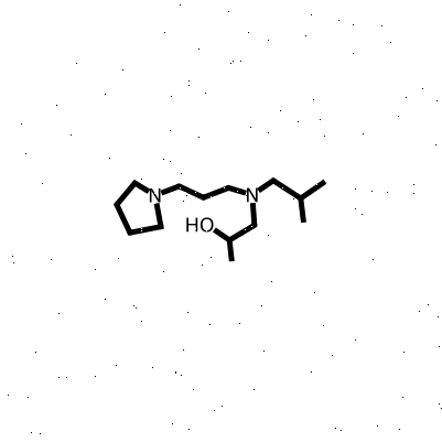 CC(C)CN(CCCN1CCCC1)CC(C)O